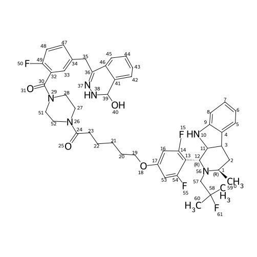 C[C@@H]1CC2c3ccccc3NC2[C@@H](c2c(F)cc(OCCCCCC(=O)N3CCN(C(=O)c4cc(CC5=NNC(O)c6ccccc65)ccc4F)CC3)cc2F)N1CC(C)(C)F